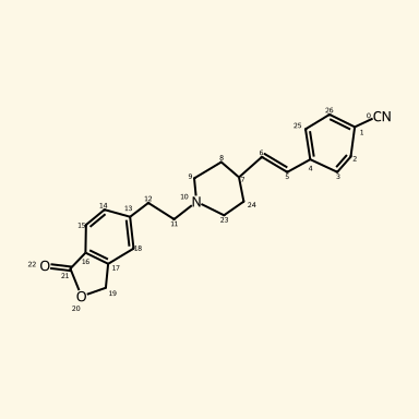 N#Cc1ccc(/C=C/C2CCN(CCc3ccc4c(c3)COC4=O)CC2)cc1